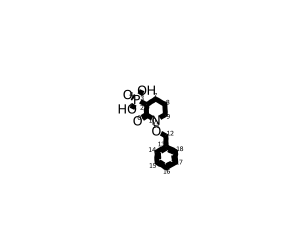 O=C1C(P(=O)(O)O)CCCN1OCc1ccccc1